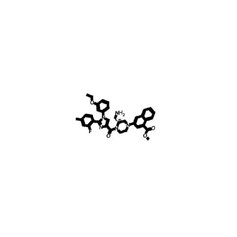 CCOc1cccc(-n2cc(C(=O)N3CCN(c4cc(C(=O)OC)c5ccccc5c4)C[C@H]3CN)nc2-c2ccc(C)cc2F)c1